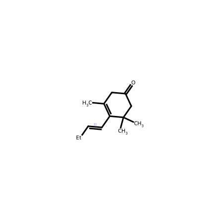 CC/C=C/C1=C(C)CC(=O)CC1(C)C